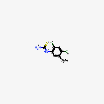 COc1cc(NC(N)=S)c(Cl)cc1Cl